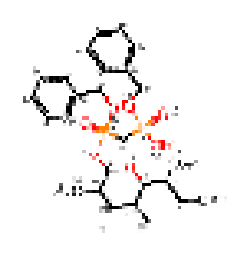 CC(=O)OC[C@@H](OC(C)=O)C1OC(OP(=O)(CP(=O)(O)OCc2ccccc2)OCc2ccccc2)C(OC(C)=O)[C@@H](C)[C@@H]1C